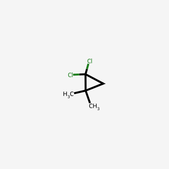 CC1(C)[CH]C1(Cl)Cl